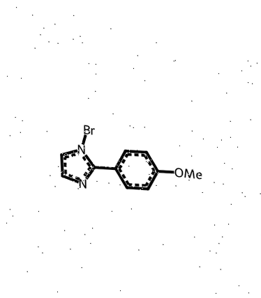 COc1ccc(-c2nccn2Br)cc1